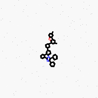 Cc1ccc2oc3c(-c4cccc(-c5ccc6c(c5)c5ccccc5c5nc(-c7ccccc7)c(-c7ccccc7)n65)c4)cc(C)cc3c2c1